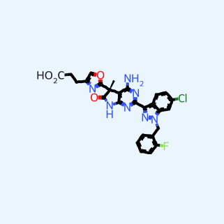 C[C@]1(c2nc(CCC(=O)O)co2)C(=O)Nc2nc(-c3nn(Cc4ccccc4F)c4cc(Cl)ccc34)nc(N)c21